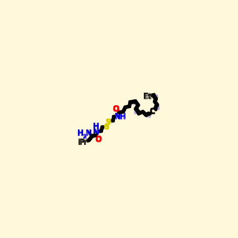 CC/C=C\C/C=C\C/C=C\C/C=C\C/C=C\CCCC(=O)NCCSSCCNC(=O)[C@@H](N)CC(C)C